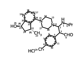 CC(C)NC(C(C=O)c1ccc(Cl)cc1)N1CCN(c2ncnc3c2[C@H](C)C[C@H]3O)CC1.Cl